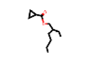 CCCCC(CC)COC(=O)C1CC1